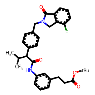 CC(C(C(=O)Nc1cccc(CCC(=O)OC(C)(C)C)c1)c1ccc(CN2Cc3c(F)cccc3C2=O)cc1)C(F)(F)F